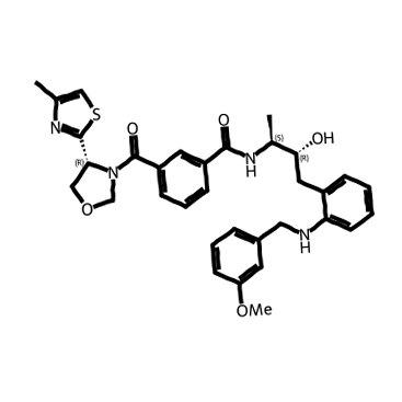 COc1cccc(CNc2ccccc2C[C@@H](O)[C@H](C)NC(=O)c2cccc(C(=O)N3COC[C@@H]3c3nc(C)cs3)c2)c1